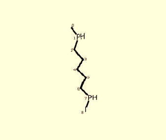 CPCCCCCPI